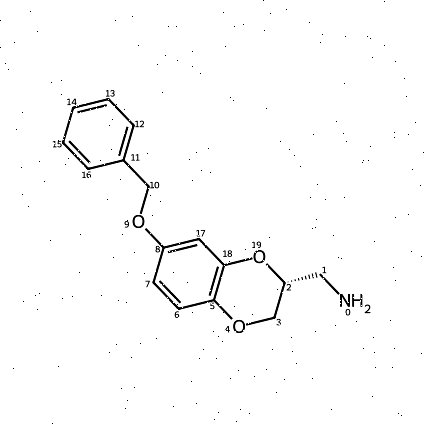 NC[C@@H]1COc2ccc(OCc3ccccc3)cc2O1